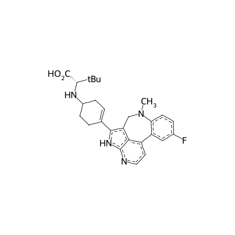 CN1Cc2c(C3=CCC(N[C@H](C(=O)O)C(C)(C)C)CC3)[nH]c3nccc(c23)-c2cc(F)ccc21